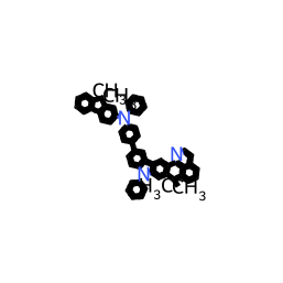 CC1(C)c2ccccc2-c2ccc(N(c3ccccc3)c3ccc(-c4ccc5c(c4)c4cc6c(cc4n5-c4ccccc4)C(C)(C)c4cccc5ccnc-6c45)cc3)cc21